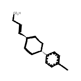 Cc1ccc([C@H]2CC[C@H](C=CCC(=O)O)CC2)cc1